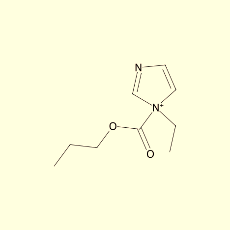 CCCOC(=O)[N+]1(CC)C=CN=C1